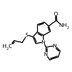 C=CCSc1cn(-c2ncccn2)c2cc(C(N)=O)ccc12